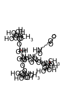 CC(=O)N[C@H]1[C@H](OCCOCCNC(=O)CCC(NC(=O)CCC(NC(=O)CCCC(=O)NCCCCCCC(=O)OCc2ccccc2)C(=O)NCCOCCO[C@@H]2O[C@H](CO)[C@H](O)[C@H](O)[C@H]2NC(C)=O)C(=O)NCCOCCO[C@@H]2O[C@H](CO)[C@H](O)[C@H](O)[C@H]2NC(C)=O)O[C@H](CO)[C@H](O)[C@@H]1O